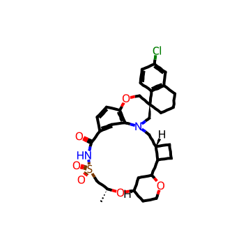 C[C@@H]1CS(=O)(=O)NC(=O)c2ccc3c(c2)N(C[C@@H]2CCC2C2C[C@@H](CCO2)O1)C[C@@]1(CCCc2cc(Cl)ccc21)CO3